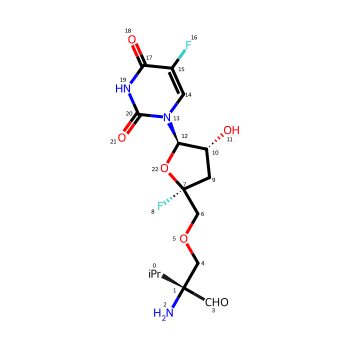 CC(C)[C@](N)(C=O)COC[C@]1(F)C[C@@H](O)[C@H](n2cc(F)c(=O)[nH]c2=O)O1